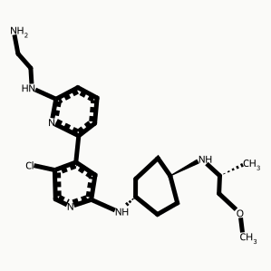 COC[C@@H](C)N[C@H]1CC[C@H](Nc2cc(-c3cccc(NCCN)n3)c(Cl)cn2)CC1